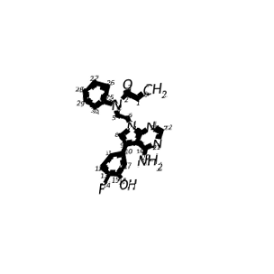 C=CC(=O)N(CCn1cc(-c2ccc(F)c(O)c2)c2c(N)ncnc21)c1ccccc1